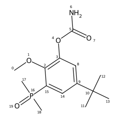 COc1c(OC(N)=O)cc(C(C)(C)C)cc1P(C)(C)=O